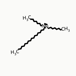 CCCCCCCCCCCCCCCCCC1N(CCCCCCCC)C=CN1CCCCCCCC